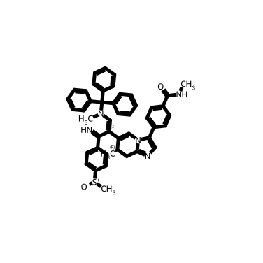 CNC(=O)c1ccc(-c2cnc3n2C=C(/C(=C/N(C)C(c2ccccc2)(c2ccccc2)c2ccccc2)C(=N)c2ccc([S+](C)[O-])cc2)[C@H](C)C3)cc1